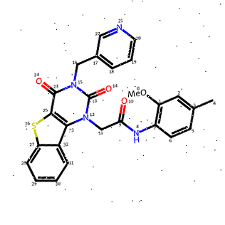 COc1cc(C)ccc1NC(=O)Cn1c(=O)n(Cc2cccnc2)c(=O)c2sc3ccccc3c21